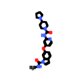 CNC(=O)n1ccc2ccc(Oc3ccnc(NC(=O)N4CCC(N5CCCC5)CC4)c3)cc21